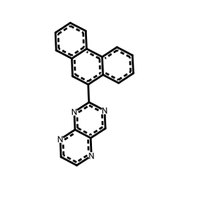 c1ccc2c(c1)cc(-c1ncc3nccnc3n1)c1ccccc12